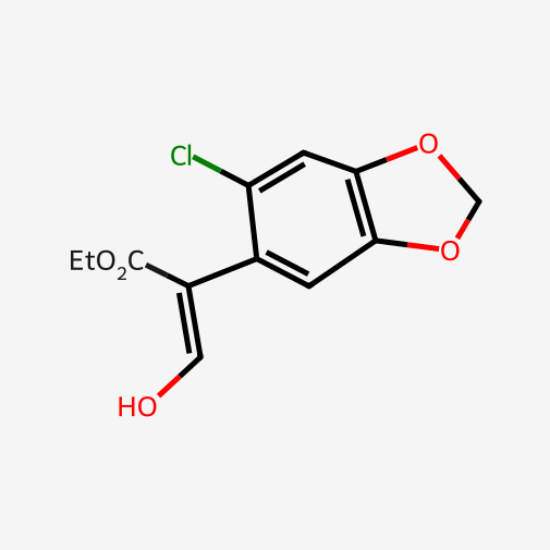 CCOC(=O)C(=CO)c1cc2c(cc1Cl)OCO2